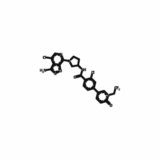 Nc1noc2c(N3CCC(NC(=O)c4ccc(-c5ccc(=O)n(CC(F)(F)F)c5)cc4Cl)C3)ncc(Cl)c12